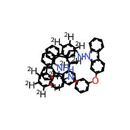 [2H]c1c([2H])c([2H])c(-c2cccc(-c3c([2H])c([2H])c([2H])c([2H])c3[2H])c2Nc2ccccc2Nc2cccc(Oc3ccc4c5ccccc5n(N5C=C6C(=CC5)c5ccccc5-c5ccccc5-c5ccccc56)c4c3)c2)c([2H])c1[2H]